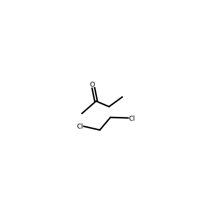 CCC(C)=O.ClCCCl